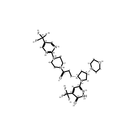 O=C(CC[C@@H]1C[C@H](N2CCOCC2)CN1c1cc(C(F)(F)F)c(=O)[nH]n1)N1CCN(c2ncc(C(F)(F)F)cn2)CC1